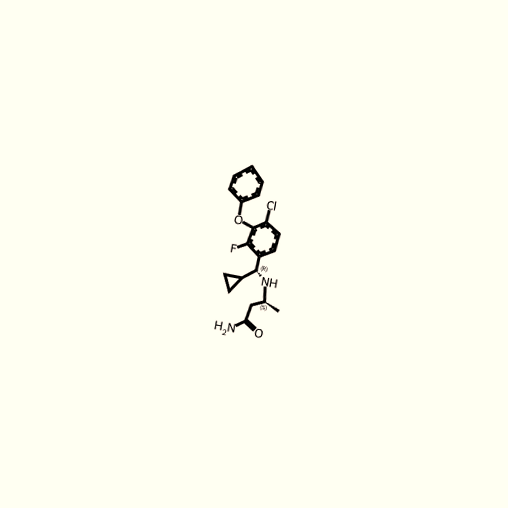 C[C@@H](CC(N)=O)N[C@@H](c1ccc(Cl)c(Oc2ccccc2)c1F)C1CC1